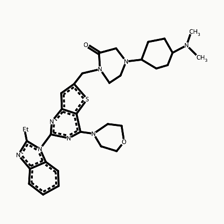 CCc1nc2ccccc2n1-c1nc(N2CCOCC2)c2sc(CN3CCN(C4CCC(N(C)C)CC4)CC3=O)cc2n1